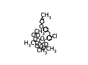 CC(=O)OC[C@H]1O[C@@H](c2ccc(Cl)c(Cc3ccc(OC4CC5C(C)C5C4)cc3)c2)[C@H](OC(C)=O)[C@@H](OC(C)=O)[C@@H]1OC(C)=O